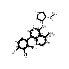 CCO[C@H]1COC[C@H]1Oc1ncc(-c2ccc(F)c(Cl)c2F)c2ncnc(N)c12